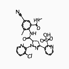 CNC(=O)c1cc(C#N)cc(C)c1NC(=O)C1CC(c2cccnc2S(=O)(=O)O)=NN1c1ncccc1Cl